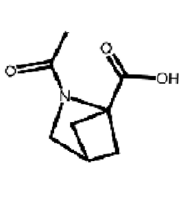 CC(=O)N1CC2CC1(C(=O)O)C2